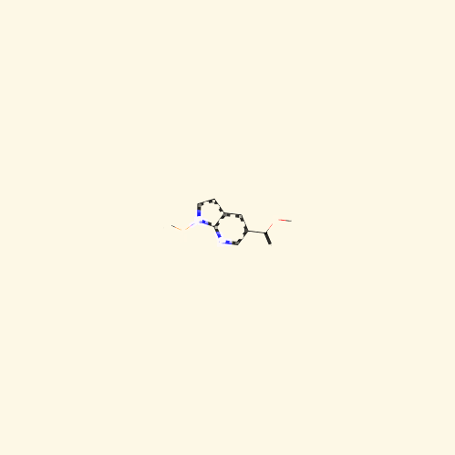 C=C(OCC)c1cnc2c(ccn2PC)c1